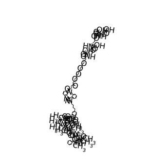 CC[C@H](C)[C@@H]([C@@H](CC(=O)N1CCC([C@H](OC)[C@@H](C)C(=O)N[C@H](C)[C@@H](O)c2ccccc2)C1)OC)N(C)C(=O)[C@@H](NC(=O)C(C(C)C)N(C)P(=O)(O)OC[C@H](NC(=O)c1ccc(CCCCCn2nnc3c2-c2ccccc2CN(C(=O)CCC(=O)CCOCCOCCOCCOCCC(=O)N[C@@H](CCC(=O)N[C@H](CCCOP(=O)(O)N[C@@H](CCC(=O)O)C(=O)O)C(=O)O)C(=O)O)c2ccccc2-3)cc1)C(=O)O)C(C)C